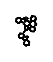 c1ccc2c(c1)Oc1ccccc1C21c2ccc(-c3cccc4c3oc3ccccc34)cc2-n2c3ccccc3c3cccc1c32